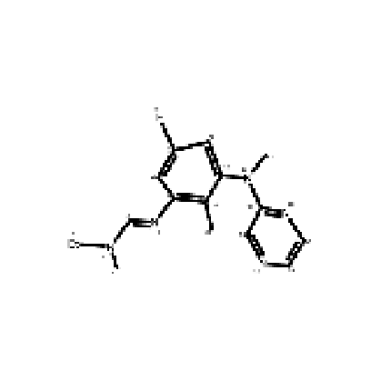 CCN(C)/C=N/c1cc(F)cc(N(C)c2cnccn2)c1C